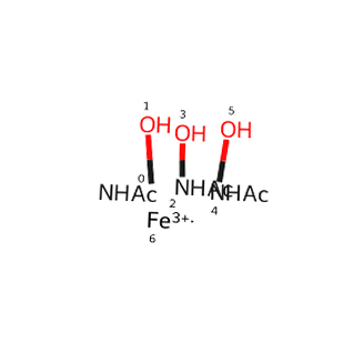 CC(=O)[N-]O.CC(=O)[N-]O.CC(=O)[N-]O.[Fe+3]